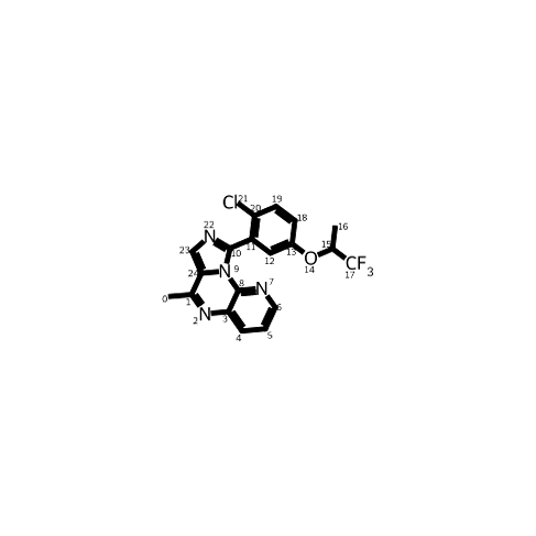 Cc1nc2cccnc2n2c(-c3cc(OC(C)C(F)(F)F)ccc3Cl)ncc12